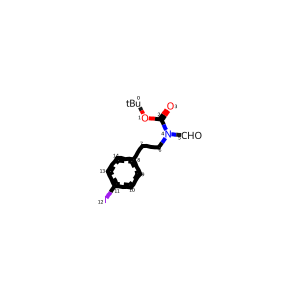 CC(C)(C)OC(=O)N(C=O)CCc1ccc(I)cc1